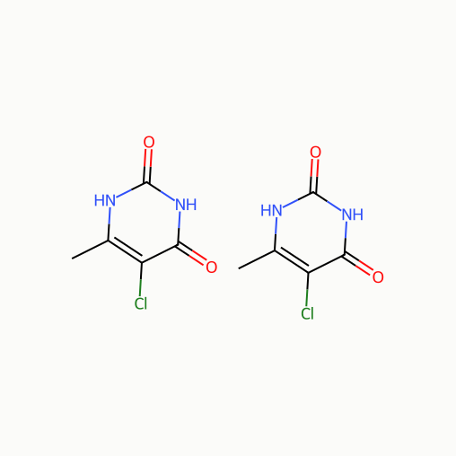 Cc1[nH]c(=O)[nH]c(=O)c1Cl.Cc1[nH]c(=O)[nH]c(=O)c1Cl